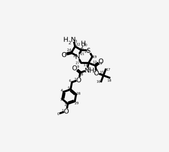 COc1ccc(COC(=O)NC2(C(=O)OC(C)(C)C)CS[C@@H]3C(N)C(=O)N3C2)cc1